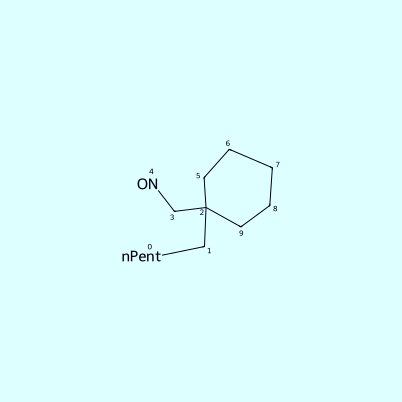 CCCCCCC1(CN=O)CCCCC1